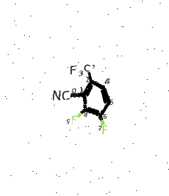 N#Cc1c(C(F)(F)F)ccc(F)c1F